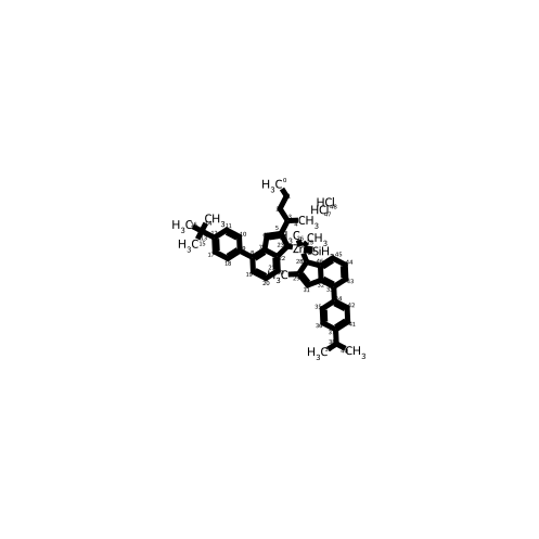 CCCC(C)C1=Cc2c(-c3ccc(C(C)(C)C)cc3)cccc2[CH]1[Zr]([CH3])([CH3])(=[SiH2])[CH]1C(C)=Cc2c(-c3ccc(C(C)C)cc3)cccc21.Cl.Cl